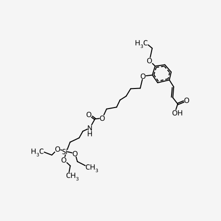 CCOc1ccc(C=CC(=O)O)cc1OCCCCCCOC(=O)NCCC[Si](OCC)(OCC)OCC